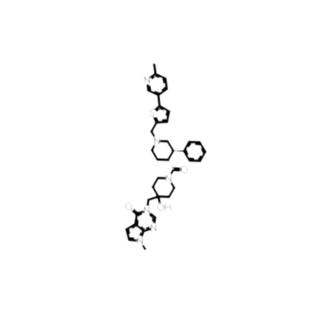 Cc1ccc(-c2ccc(CN3CC[C@@H](C(=O)N4CCC(O)(Cn5cnc6c(ccn6C)c5=O)CC4)[C@H](c4ccccc4)C3)s2)cn1